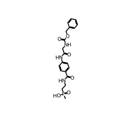 CP(=O)(O)CCNC(=O)c1ccc(NC(=O)CNC(=O)OCc2ccccc2)cc1